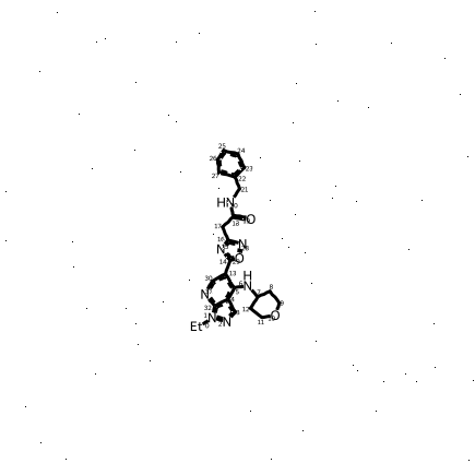 CCn1ncc2c(NC3CCOCC3)c(-c3nc(CC(=O)NCc4ccccc4)no3)cnc21